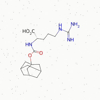 N=C(N)NCCC[C@H](NC(=O)OC12CC3CC(CC(C3)C1)C2)C(=O)O